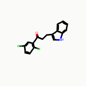 O=C(CCc1c[nH]c2ccccc12)c1cc(F)ccc1F